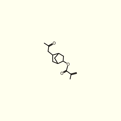 C=C(C)C(=O)OC1CC2CC1CC2CC(C)=O